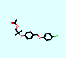 CC(=O)OCC(C)(C)Oc1ccc(COc2ccc(Cl)cc2)cc1